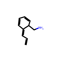 C=C/C=C1/C=CC=CC1CN